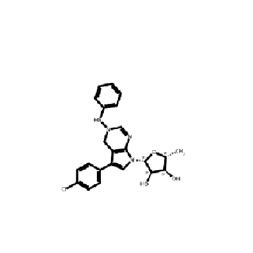 C[C@H]1O[C@@H](n2cc(-c3ccc(Cl)cc3)c3c2N=CN(Nc2ccccc2)C3)[C@H](O)[C@@H]1O